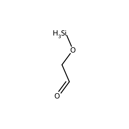 O=CCO[SiH3]